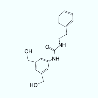 O=C(NCCc1ccccc1)Nc1cc(CO)cc(CO)c1